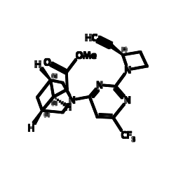 C#C[C@H]1CCN1c1nc(N2C[C@H]3C[C@@H](C2)[C@@H]3CC(=O)OC)cc(C(F)(F)F)n1